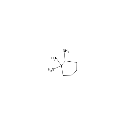 N[C]1CCCCC1(N)N